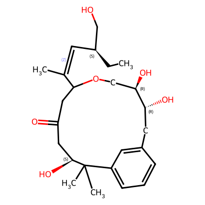 CC[C@@H](/C=C(/C)C1CC(=O)C[C@H](O)C(C)(C)c2cccc(c2)C[C@@H](O)[C@H](O)CO1)CO